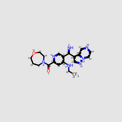 N=C(c1cnc(C(=O)N2CCCOCC2)cc1NCC(F)(F)F)c1cnn2ccncc12